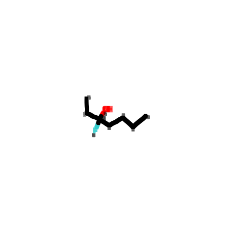 CCCCC(O)(F)CC